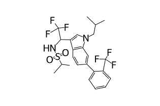 CC(C)Cn1cc(C(NS(=O)(=O)C(C)C)C(F)(F)F)c2ccc(-c3ccccc3C(F)(F)F)cc21